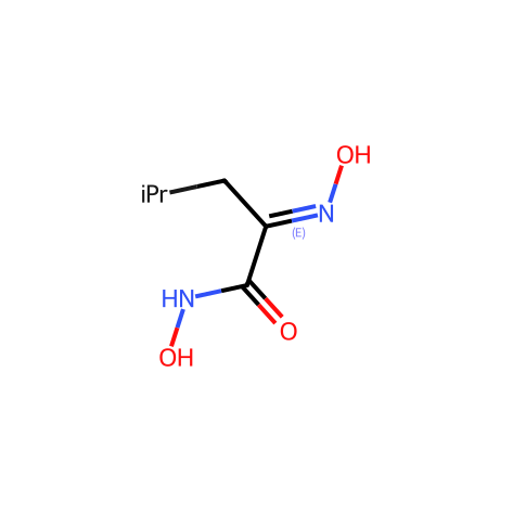 CC(C)C/C(=N\O)C(=O)NO